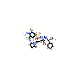 C[C@H](c1ccccc1)N(C)C(=O)C(CCn1cccc1N)NS(=O)(=O)c1cc(Cl)c(N)c(Cl)c1